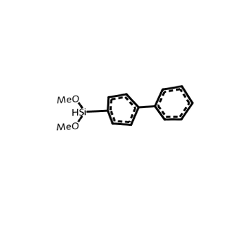 CO[SiH](OC)c1ccc(-c2ccccc2)cc1